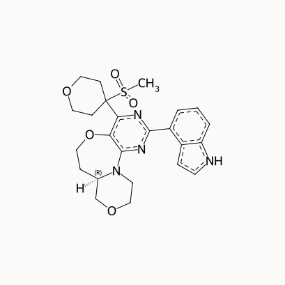 CS(=O)(=O)C1(c2nc(-c3cccc4[nH]ccc34)nc3c2OCC[C@@H]2COCCN32)CCOCC1